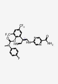 CN(C(=O)Oc1c(/C(C=N)=C/Nc2cnc(C(N)=O)cn2)cc(C(F)(F)F)cc1C(F)(F)F)c1ccc(F)cc1